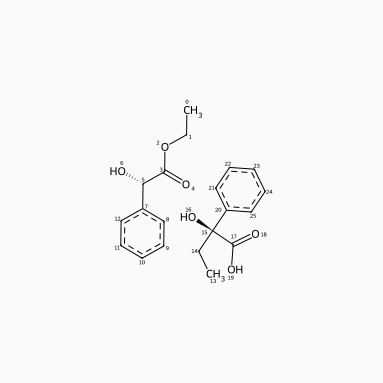 CCOC(=O)[C@@H](O)c1ccccc1.CC[C@@](O)(C(=O)O)c1ccccc1